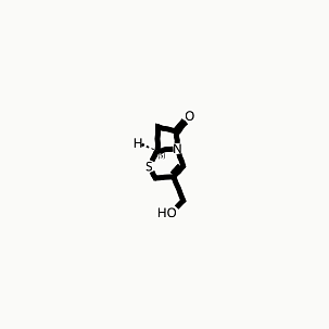 O=C1C[C@@H]2SCC(CO)=CN12